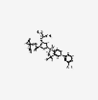 Cc1cc(-c2ccc(S(=O)(=O)[C@H]3CC(C(=O)NC4(C#N)CC4)[C@@H](OC(C)C)C3)c(C(F)(F)F)c2)ccn1